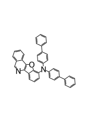 c1ccc(-c2ccc(N(c3ccc(-c4ccccc4)cc3)c3cccc4c3oc3c5ccccc5cnc43)cc2)cc1